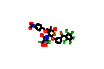 C[C@@H](O)[C@H]1C(=O)N(C(C(=O)OCc2ccc([N+](=O)[O-])cc2)=C(Oc2cccc(C(=S)c3c(F)c(F)c(F)c(F)c3F)c2)SC(=O)C(C)(C)C)[C@H]1Cl